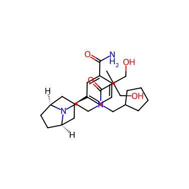 CC(CO)(CO)C(=O)N(CCN1[C@@H]2CC[C@H]1C[C@@H](c1cccc(C(N)=O)c1)C2)CC1CCCC1